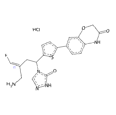 Cl.NC/C(=C/F)CC(c1ccc(-c2ccc3c(c2)OCC(=O)N3)s1)n1cn[nH]c1=O